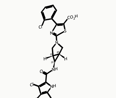 Cc1[nH]c(C(=O)N[C@H]2[C@@H]3CN(c4nc(-c5ccccc5Cl)c(C(=O)O)s4)C[C@@H]32)c(Cl)c1Cl